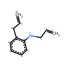 C=CC[N]c1ccccc1CC=C